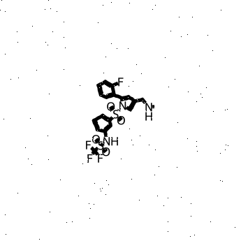 CNCc1cc(-c2ccccc2F)n(S(=O)(=O)c2cccc(NS(=O)(=O)C(F)(F)F)c2)c1